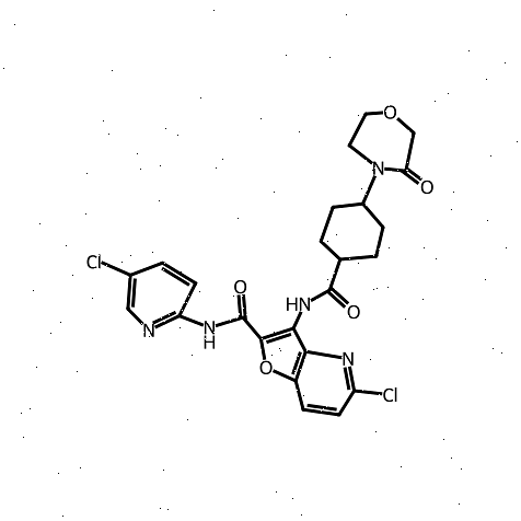 O=C(Nc1ccc(Cl)cn1)c1oc2ccc(Cl)nc2c1NC(=O)C1CCC(N2CCOCC2=O)CC1